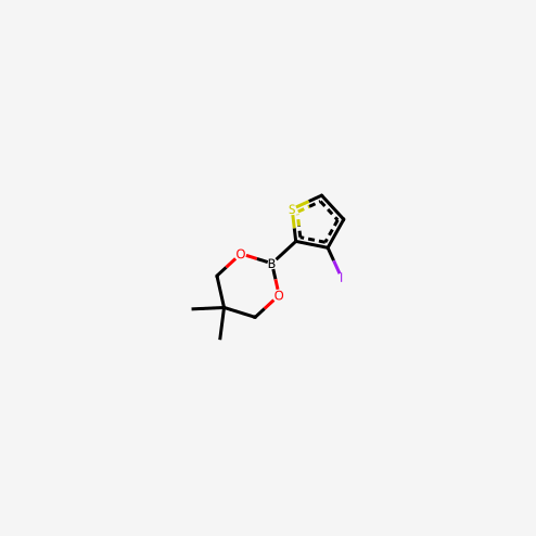 CC1(C)COB(c2sccc2I)OC1